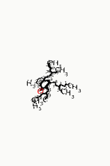 CCCCC(CC)CCC1=C(CC(CC)CCCC)C(=O)CC(C)(CCC(CC)CCCC)C1